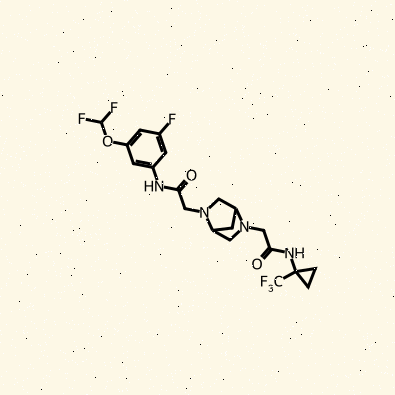 O=C(CN1CC2CC1CN2CC(=O)NC1(C(F)(F)F)CC1)Nc1cc(F)cc(OC(F)F)c1